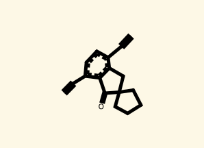 C#Cc1ccc(C#C)c2c1CC1(CCCC1)C2=O